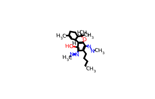 CCCCCc1c(N=NC)c(O)c2c(c1N=NC)OC(C)(C)[C@@H]1CCC(C)=C[C@@H]21